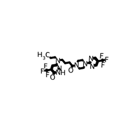 CCCN(CCCC(=O)N1CCN(c2ncc(C(F)(F)F)cn2)CC1)c1cc(C(F)(F)F)c(=O)[nH]n1